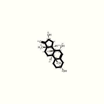 C[C@]12CC[C@@H](O)CC1=C[C@@H](O)[C@@H]1[C@@H]2CC[C@]2(C)C(=O)[C@H](O)C[C@@H]12